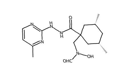 Cc1ccnc(NNC(=O)C2(CN(O)C=O)C[C@H](C)C[C@H](C)C2)n1